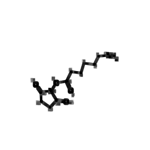 NCCCCCC(=O)ON1C(=O)CCC1=O